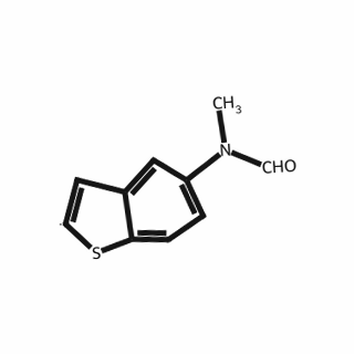 CN(C=O)c1ccc2s[c]cc2c1